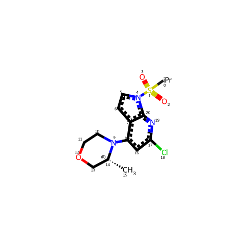 CC(C)S(=O)(=O)n1ccc2c(N3CCOC[C@H]3C)cc(Cl)nc21